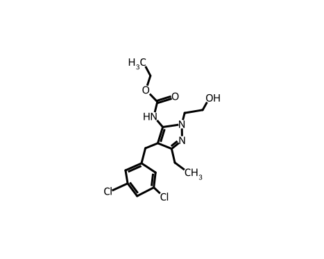 CCOC(=O)Nc1c(Cc2cc(Cl)cc(Cl)c2)c(CC)nn1CCO